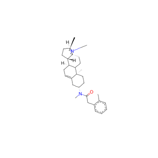 Cc1ccccc1CC(=O)N(C)[C@H]1CC[C@@]2(C)C(=CC[C@@H]3C2CC[C@]24CN(C)[C@@H](C)[C@H]2CC[C@@H]34)C1